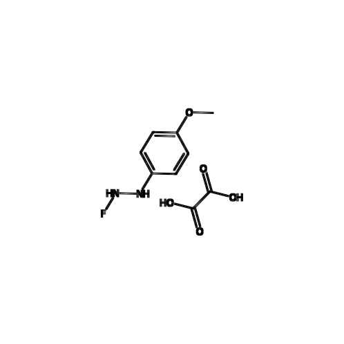 COc1ccc(NNF)cc1.O=C(O)C(=O)O